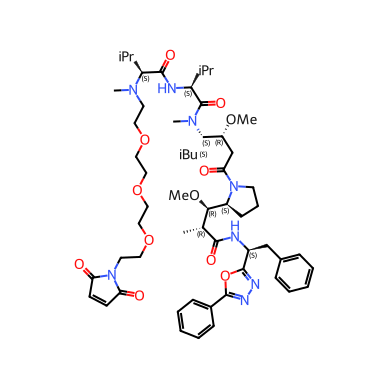 CC[C@H](C)[C@@H]([C@@H](CC(=O)N1CCC[C@H]1[C@H](OC)[C@@H](C)C(=O)N[C@@H](Cc1ccccc1)c1nnc(-c2ccccc2)o1)OC)N(C)C(=O)[C@@H](NC(=O)[C@H](C(C)C)N(C)CCOCCOCCOCCN1C(=O)C=CC1=O)C(C)C